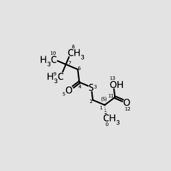 C[C@H](CSC(=O)CC(C)(C)C)C(=O)O